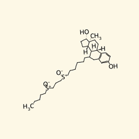 CCCCC[S+]([O-])CCC[S+]([O-])CCCCCCC1Cc2cc(O)ccc2[C@H]2CC[C@]3(C)[C@@H](O)CC[C@H]3[C@H]12